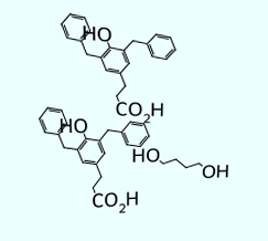 O=C(O)CCc1cc(Cc2ccccc2)c(O)c(Cc2ccccc2)c1.O=C(O)CCc1cc(Cc2ccccc2)c(O)c(Cc2ccccc2)c1.OCCCCO